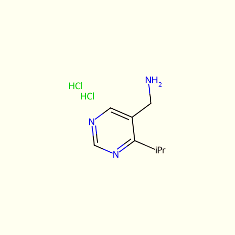 CC(C)c1ncncc1CN.Cl.Cl